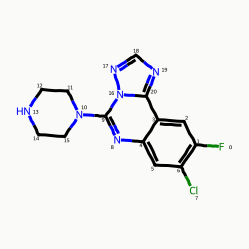 Fc1cc2c(cc1Cl)nc(N1CCNCC1)n1ncnc21